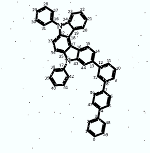 c1ccc(-c2ccc(-c3cccc(-c4ccc5c6c7c8ccccc8n(-c8ccccc8)c7ccc6n(-c6ccccc6)c5c4)c3)cc2)cc1